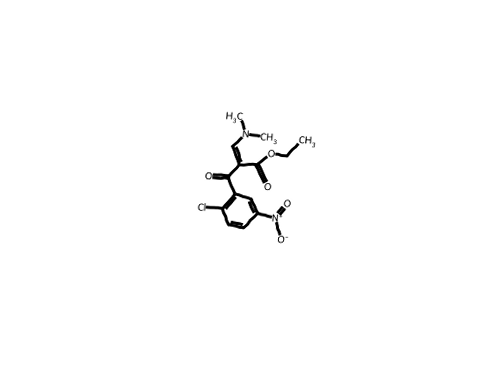 CCOC(=O)C(=CN(C)C)C(=O)c1cc([N+](=O)[O-])ccc1Cl